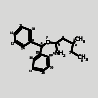 CCC(C)CC(N)OC(c1ccccc1)c1ccccc1